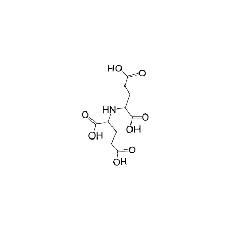 O=C(O)CCC(NC(CCC(=O)O)C(=O)O)C(=O)O